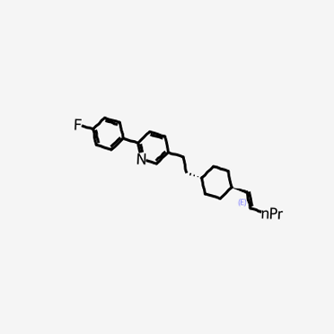 CCC/C=C/[C@H]1CC[C@H](CCc2ccc(-c3ccc(F)cc3)nc2)CC1